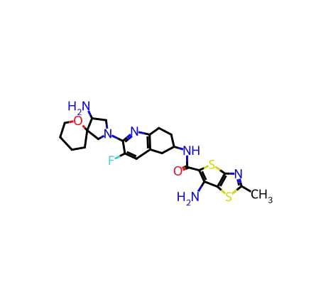 Cc1nc2sc(C(=O)NC3CCc4nc(N5CC(N)C6(CCCCO6)C5)c(F)cc4C3)c(N)c2s1